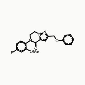 COc1cc(F)ccc1N1CCn2nc(COc3ccccc3)cc2C1=O